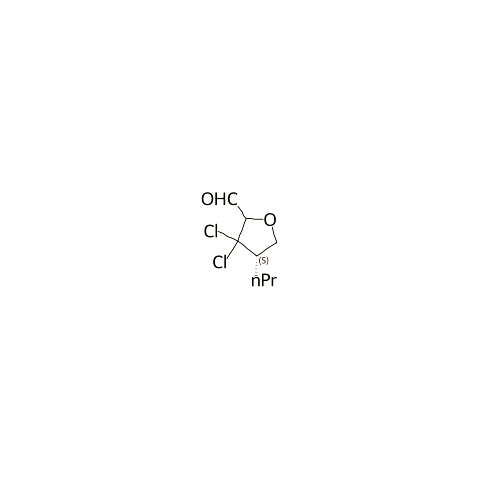 CCC[C@H]1COC(C=O)C1(Cl)Cl